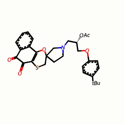 CC(=O)O[C@H](COc1ccc(C(C)(C)C)cc1)CN1CCC2(CSC3=C(O2)c2ccccc2C(=O)C3=O)C1